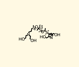 CCC(C)(O[Si](C)(C)CCCN(CCO)CCO)[Si](C)(C)OC(C)[Si](C)(C)C12CCN(C1CO)C2CO